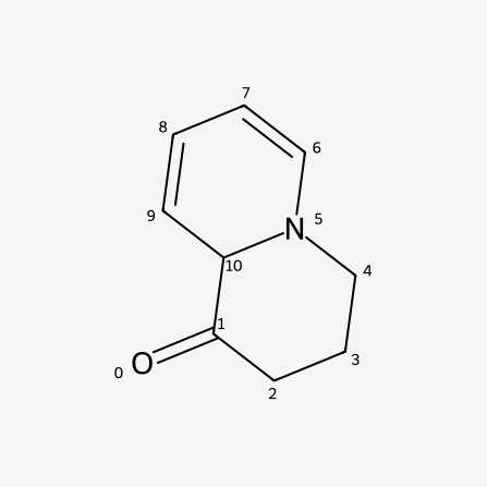 O=C1CCCN2C=CC=CC12